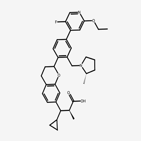 CCOc1cc(-c2ccc(C3CCc4ccc(C(C5CC5)[C@H](C)C(=O)O)cc4O3)c(CN3CCC[C@@H]3C)c2)c(F)cn1